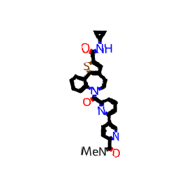 CNC(=O)c1ccc(-c2cccc(C(=O)N3CCc4cc(C(=O)NC5CC5)sc4-c4ccccc43)n2)cn1